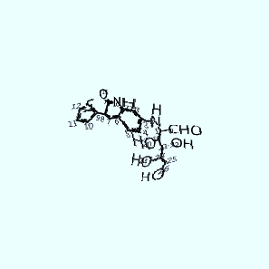 O=C[C@H](Nc1ccc2cc(-c3cccs3)c(=O)[nH]c2c1)[C@@H](O)[C@H](O)[C@H](O)CO